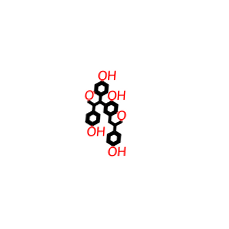 Oc1ccc(C2COc3cc(O)c(C4c5ccc(O)cc5OCC4c4ccc(O)cc4)cc3C2)cc1